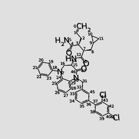 C=CC[C@H](C(N)=O)[C@@H](CC1CC1)C(=O)NC1CN(c2ccccc2)c2ccccc2N(Cc2cccc(-c3ccc(Cl)cc3Cl)c2)C1=O